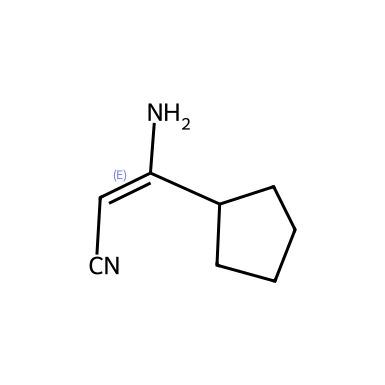 N#C/C=C(/N)C1CCCC1